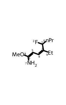 CCCC(F)/C(=C\C=C(/N)OC)CC